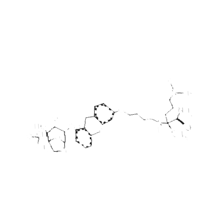 CN(C)CCCC(C)(NCCCCOc1ccc(Cc2cc([C@]34OC[C@](C(C)(C)O)(O3)[C@@H](O)[C@H](O)[C@H]4O)ccc2Cl)cc1)C(N)=O